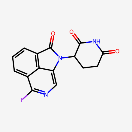 O=C1CCC(N2C(=O)c3cccc4c(I)ncc2c34)C(=O)N1